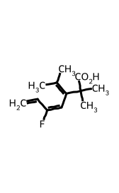 C=C/C(F)=C\C(=C(C)C)C(C)(C)C(=O)O